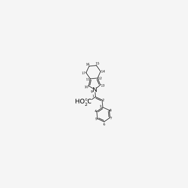 O=C(O)C(=Cc1ccccc1)n1cc2c(c1)CCCC2